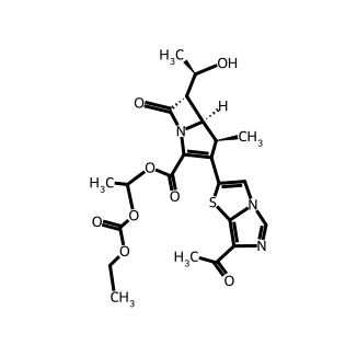 CCOC(=O)OC(C)OC(=O)C1=C(c2cn3cnc(C(C)=O)c3s2)[C@H](C)[C@@H]2[C@@H]([C@@H](C)O)C(=O)N12